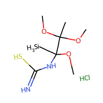 COC([SiH3])(NC(=N)S)C(C)(OC)OC.Cl